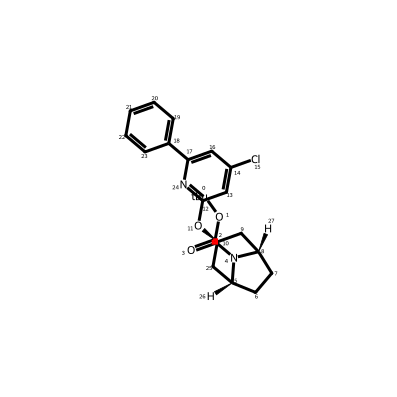 CC(C)(C)OC(=O)N1[C@@H]2CC[C@H]1C[C@H](Oc1cc(Cl)cc(-c3ccccc3)n1)C2